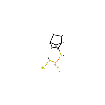 S=[PH](SS)SC1CC2CCC1C2